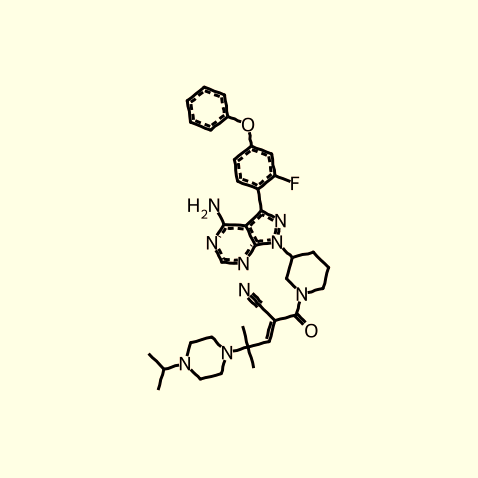 CC(C)N1CCN(C(C)(C)C=C(C#N)C(=O)N2CCCC(n3nc(-c4ccc(Oc5ccccc5)cc4F)c4c(N)ncnc43)C2)CC1